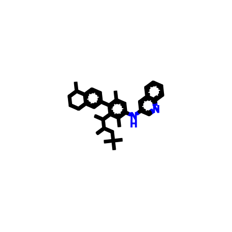 Cc1cc(Nc2cnc3ccccc3c2)c(C)c(C(C)C(C)CC(C)(C)C)c1-c1ccc2c(c1)CCCC2C